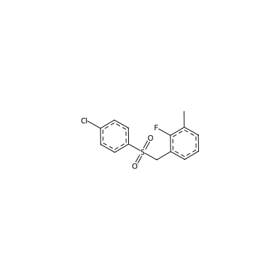 Cc1cccc(CS(=O)(=O)c2ccc(Cl)cc2)c1F